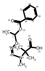 CC(O/N=N\N(C)C(C)(C)C(=O)O)OC(=O)c1ccccc1